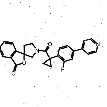 O=C1OC2(CCN(C(=O)C3(c4ccc(-c5ccncc5)cc4F)CC3)C2)c2ccncc21